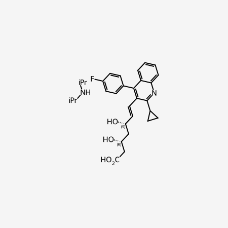 CC(C)NC(C)C.O=C(O)C[C@H](O)C[C@H](O)C=Cc1c(C2CC2)nc2ccccc2c1-c1ccc(F)cc1